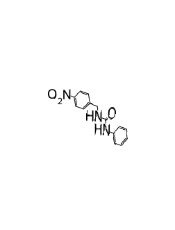 O=C(NCc1ccc([N+](=O)[O-])cc1)Nc1ccccc1